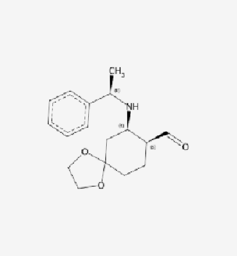 C[C@@H](N[C@@H]1CC2(CC[C@@H]1C=O)OCCO2)c1ccccc1